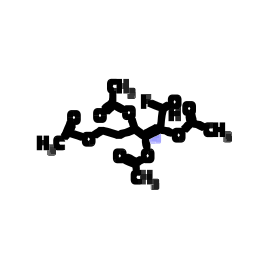 CC(=O)OCCC(OC(C)=O)/C(OC(C)=O)=C(/OC(C)=O)C(O)F